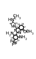 CCNC1CCN(c2nc(-c3c(N)cc(C(F)(F)F)cc3N)nc3c(OC)cccc23)C1